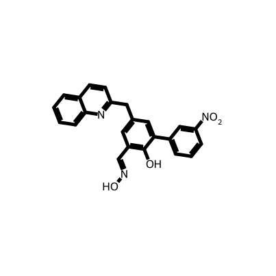 O=[N+]([O-])c1cccc(-c2cc(Cc3ccc4ccccc4n3)cc(/C=N/O)c2O)c1